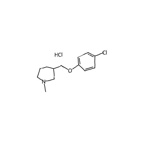 CN1CCCC(COc2ccc(Cl)cc2)C1.Cl